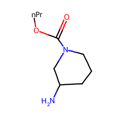 CCCOC(=O)N1CCCC(N)C1